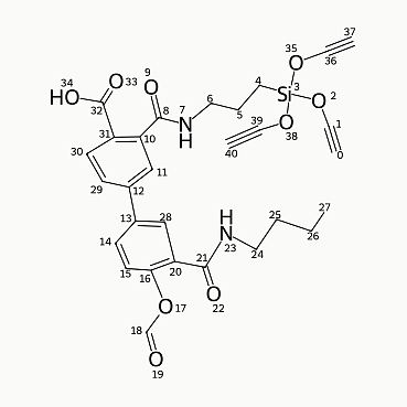 C#CO[Si](CCCNC(=O)c1cc(-c2ccc(OC=O)c(C(=O)NCCCC)c2)ccc1C(=O)O)(OC#C)OC#C